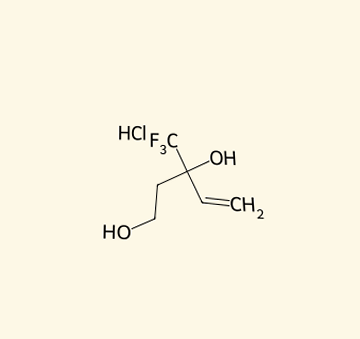 C=CC(O)(CCO)C(F)(F)F.Cl